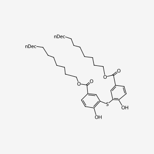 CCCCCCCCCCCCCCCCCOC(=O)c1ccc(O)c(Sc2cc(C(=O)OCCCCCCCCCCCCCCCCC)ccc2O)c1